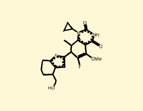 COC1=C(F)C(c2cc3c(s2)CCCC3CO)C(C)c2c1c(=O)[nH]c(=O)n2C1CC1